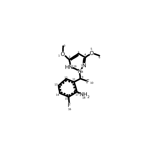 COC1=CC(OC)=NN(C(F)c2cccc(F)c2N)N1